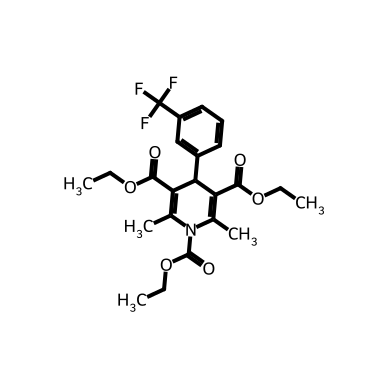 CCOC(=O)C1=C(C)N(C(=O)OCC)C(C)=C(C(=O)OCC)C1c1cccc(C(F)(F)F)c1